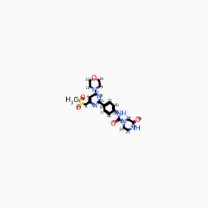 CS(=O)(=O)Cc1cc(N2CCOCC2)nc(-c2ccc(NC(=O)N3CCNC(=O)C3)cc2)n1